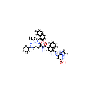 C[C@H](NC(=O)[C@H](CCCNC1CCCCC1)NC(=O)c1ccc(CNC(CCO)c2ncc[nH]2)c2ccccc12)c1cccc2ccccc12